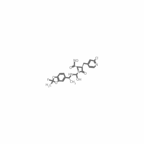 C[C@@H](NC(O)N1C(=O)[C@H](Cc2ccnc(Cl)c2)[C@H]1C(=O)N=O)c1ccc2c(c1)OC(C)(F)O2